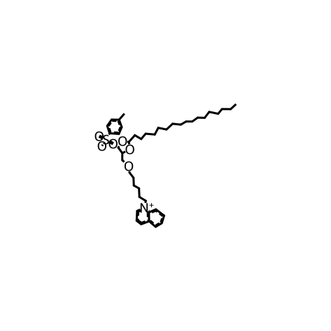 CCCCCCCCCCCCCCCCCC1OCC(COCCCCCC[n+]2cccc3ccccc32)O1.Cc1ccc(S(=O)(=O)[O-])cc1